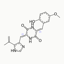 C=C(C)c1[nH]cnc1/C=c1\[nH]c(=O)/c(=C/c2cc(OC)ccc2O)[nH]c1=O